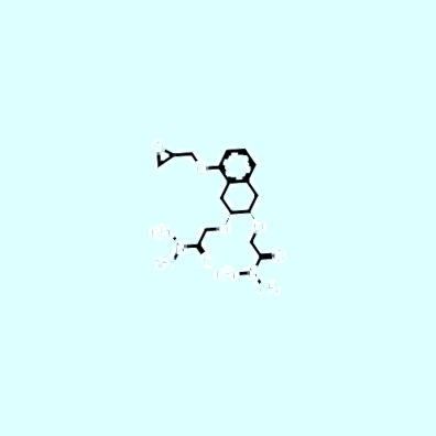 CCCN(CCC)C(=O)CO[C@H]1Cc2c(cccc2OCC2CO2)C[C@H]1OCC(=O)N(CCC)CCC